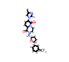 Cc1cn(-c2ccc3n(c2=O)CCN(C[C@@H]2CC[C@H](c4cccc(C(F)(F)F)c4)O2)C3=O)cn1